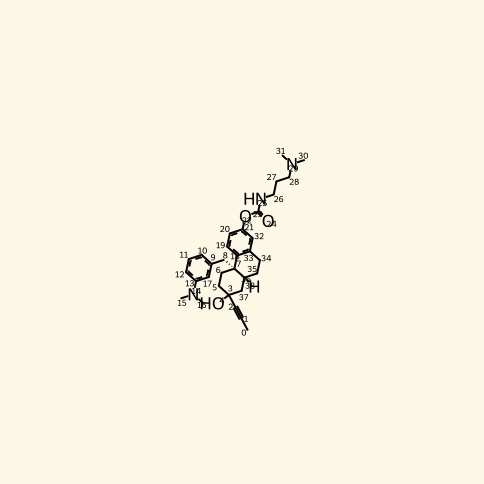 CC#CC1(O)CC[C@@]2(Cc3cccc(N(C)C)c3)c3ccc(OC(=O)NCCCN(C)C)cc3CC[C@@H]2C1